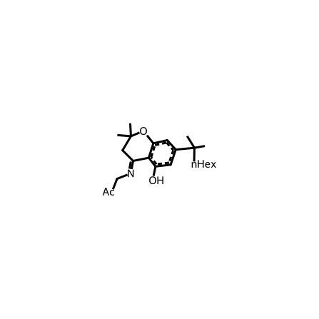 CCCCCCC(C)(C)c1cc(O)c2c(c1)OC(C)(C)CC2=NCC(C)=O